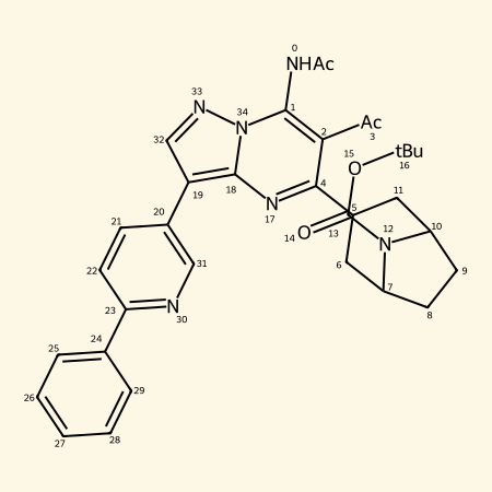 CC(=O)Nc1c(C(C)=O)c(C2CC3CCC(C2)N3C(=O)OC(C)(C)C)nc2c(-c3ccc(-c4ccccc4)nc3)cnn12